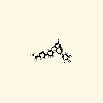 Cc1cc(Cl)ccc1C(C/C(=N\O)c1c[nH]c(=O)c(C)c1)c1ccc(-c2ccc(C(=O)O)cc2)cc1